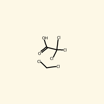 ClCCl.O=C(O)C(Cl)(Cl)Cl